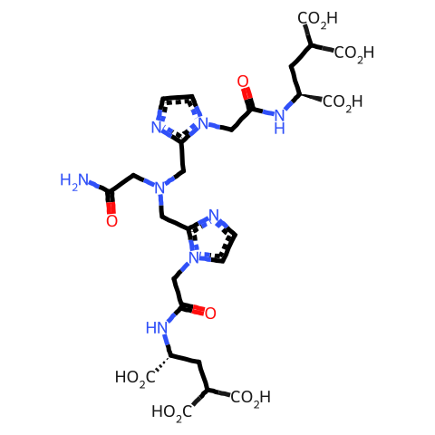 NC(=O)CN(Cc1nccn1CC(=O)N[C@@H](CC(C(=O)O)C(=O)O)C(=O)O)Cc1nccn1CC(=O)N[C@H](CC(C(=O)O)C(=O)O)C(=O)O